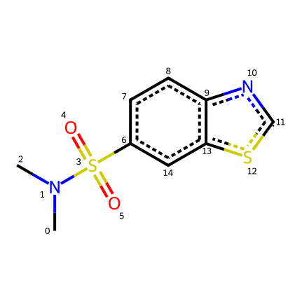 CN(C)S(=O)(=O)c1ccc2n[c]sc2c1